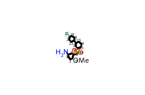 COc1ccc(N)cc1CS(=O)(=O)c1cccc(-c2ccc(F)cc2)c1